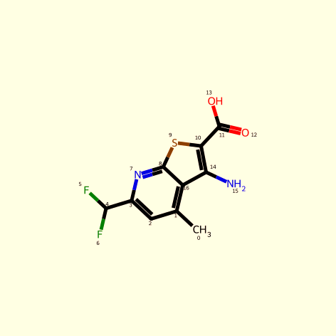 Cc1cc(C(F)F)nc2sc(C(=O)O)c(N)c12